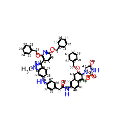 Cn1nc(-c2ccc(OCc3ccccc3)nc2OCc2ccccc2)c2ccc(Nc3ccc(CC(=O)Nc4ccc5c(F)c(N6CC(=O)NS6(=O)=O)c(OCc6ccccc6)cc5c4)cc3)cc21